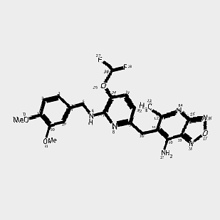 COc1ccc(CNc2nc(Cc3c(C)nc4nonc4c3N)ccc2OC(F)F)cc1OC